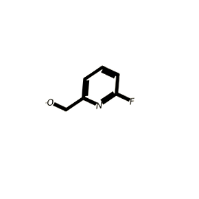 [O]Cc1cccc(F)n1